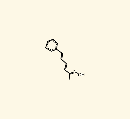 CC(C=CC=Cc1ccccc1)=NO